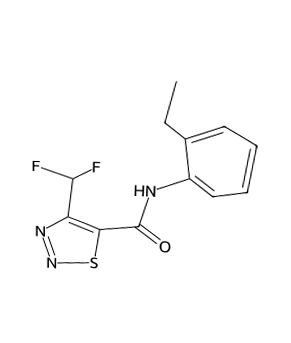 CCc1ccccc1NC(=O)c1snnc1C(F)F